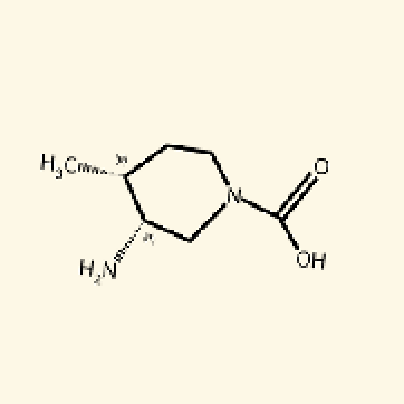 C[C@@H]1CCN(C(=O)O)C[C@@H]1N